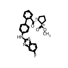 COC(=O)[C@@H]1CCC[C@H]1C(=O)c1ccccc1-c1ccc(Nc2nc3cc(F)ccc3s2)cc1